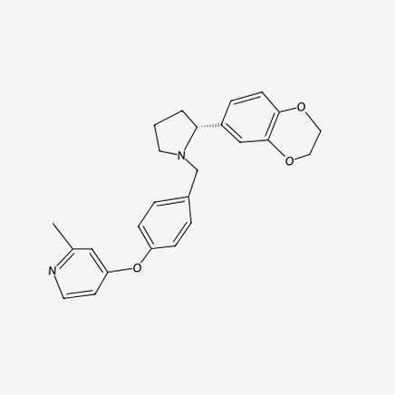 Cc1cc(Oc2ccc(CN3CCC[C@@H]3c3ccc4c(c3)OCCO4)cc2)ccn1